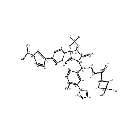 CC(C)(C)C[C@]1(C2C=CC(c3cnn(C(F)F)c3)=CC2)NC(=N)N([C@H](COC(=O)N2CC(F)(F)C2)c2ccc(Cl)c(-n3cccn3)c2)C1=O